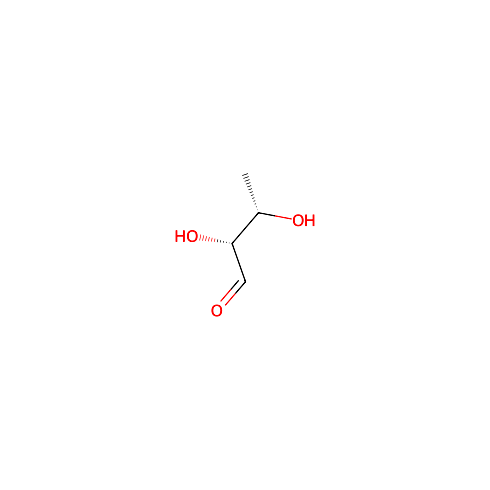 C[C@H](O)[C@@H](O)C=O